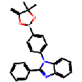 C=C1OB(c2ccc(-n3c(-c4ccccc4)nc4ccccc43)cc2)OC1(C)C